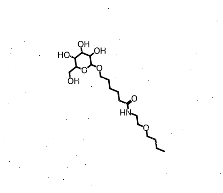 CCCCOCCNC(=O)CCCCCOC1OC(CO)C(O)C(O)C1O